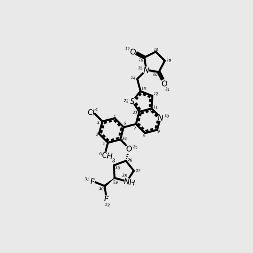 Cc1cc(Cl)cc(-c2ccnc3cc(CN4C(=O)CCC4=O)sc23)c1O[C@@H]1CN[C@@H](C(F)F)C1